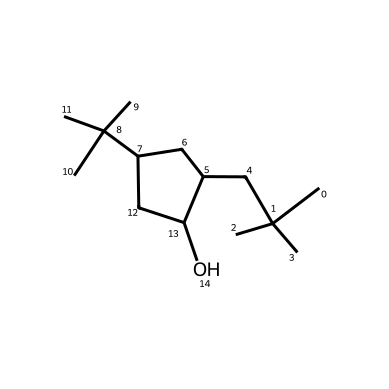 CC(C)(C)CC1CC(C(C)(C)C)CC1O